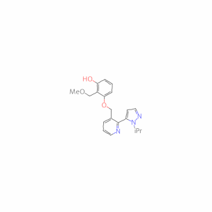 COCc1c(O)cccc1OCc1cccnc1-c1ccnn1C(C)C